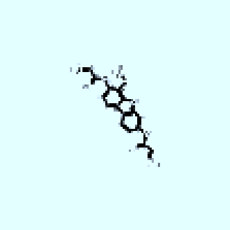 C=CC(=O)Oc1ccc2c(c1)sc1c(OC(F)(F)F)c(OC(=O)C=C)ccc12